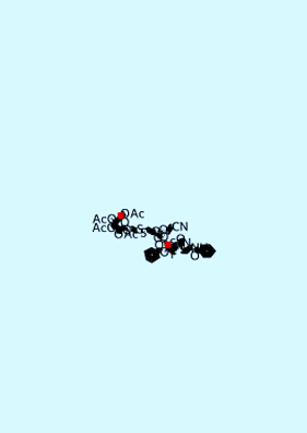 CC(=O)OCC1O[C@@H](OCCSSCCOP(=O)(OCCC#N)OC[C@H]2S[C@@H](n3ccc(NC(=O)c4ccccc4)nc3=O)[C@@H](F)[C@@H]2OC(=O)c2ccccc2)C(OC(C)=O)C(OC(C)=O)[C@@H]1OC(C)=O